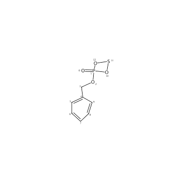 O=P1(OCc2ccccc2)OSO1